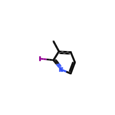 Cc1cccnc1I